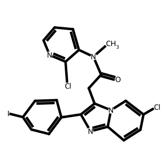 CN(C(=O)Cc1c(-c2ccc(I)cc2)nc2ccc(Cl)cn12)c1cccnc1Cl